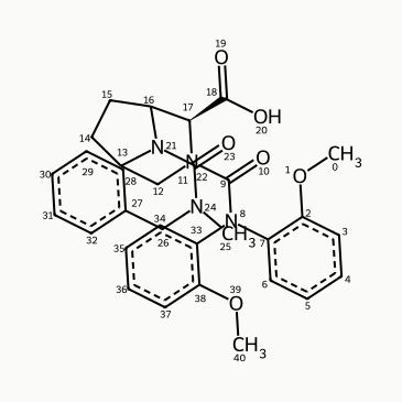 COc1ccccc1N(C(=O)N1CC2CCC([C@H]1C(=O)O)N2C(=O)N(C)Cc1ccccc1)c1ccccc1OC